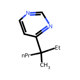 CCCC(C)(CC)c1ccncn1